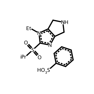 CCn1c(S(=O)(=O)C(C)C)nc2c1CNC2.O=S(=O)(O)c1ccccc1